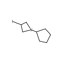 IC1CN(C2CCCC2)C1